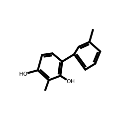 Cc1cccc(-c2ccc(O)c(C)c2O)c1